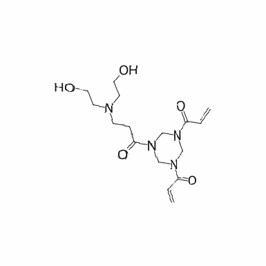 C=CC(=O)N1CN(C(=O)C=C)CN(C(=O)CCN(CCO)CCO)C1